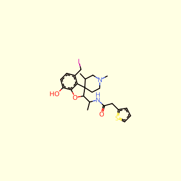 CC(NC(=O)Cc1cccs1)C1Oc2c(O)ccc(CI)c2C12CCN(C)CC2C